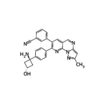 Cc1cc2ncc3cc(-c4cccc(C#N)c4)c(-c4ccc([C@]5(N)C[C@H](O)C5)cc4)nc3n2n1